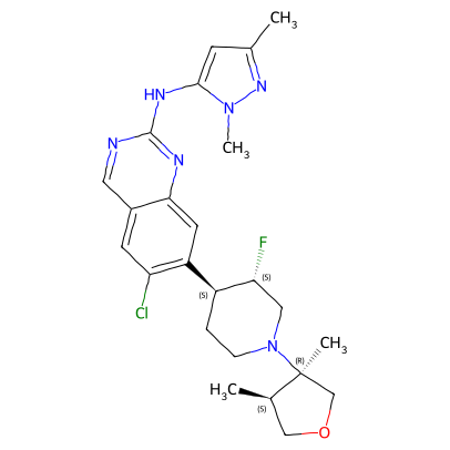 Cc1cc(Nc2ncc3cc(Cl)c([C@@H]4CCN([C@@]5(C)COC[C@H]5C)C[C@H]4F)cc3n2)n(C)n1